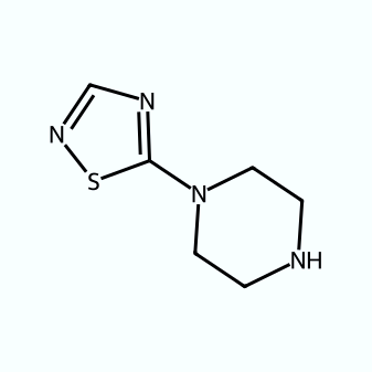 c1nsc(N2CCNCC2)n1